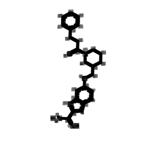 N=C(N)c1cc2ccc(OCC3CCCN(C(=O)CCc4ccccc4)C3)cc2s1